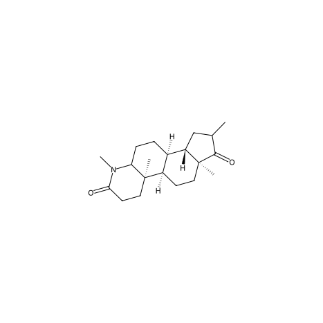 CC1C[C@H]2[C@@H]3CCC4N(C)C(=O)CC[C@]4(C)[C@@H]3CC[C@]2(C)C1=O